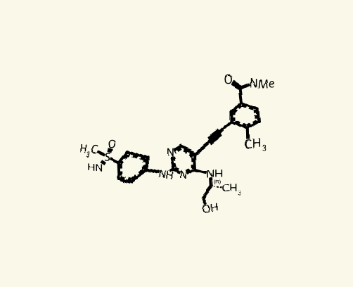 CNC(=O)c1ccc(C)c(C#Cc2cnc(Nc3ccc(S(C)(=N)=O)cc3)nc2N[C@H](C)CO)c1